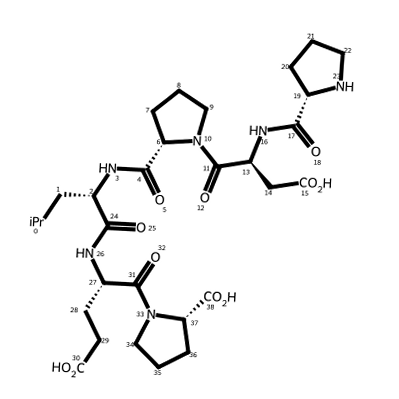 CC(C)C[C@H](NC(=O)[C@@H]1CCCN1C(=O)[C@H](CC(=O)O)NC(=O)[C@@H]1CCCN1)C(=O)N[C@@H](CCC(=O)O)C(=O)N1CCC[C@H]1C(=O)O